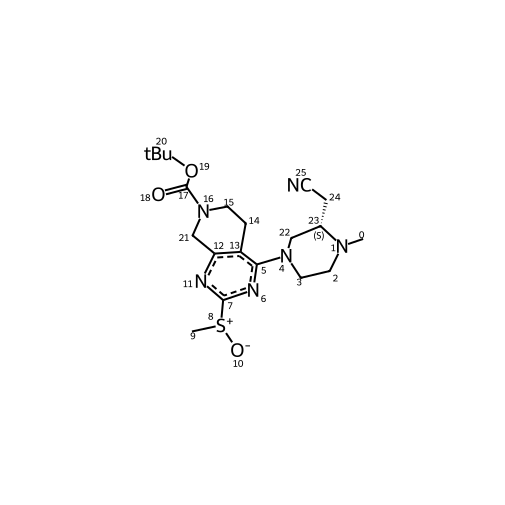 CN1CCN(c2nc([S+](C)[O-])nc3c2CCN(C(=O)OC(C)(C)C)C3)C[C@@H]1CC#N